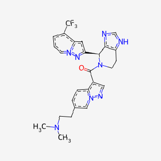 CN(C)CCc1ccc2c(C(=O)N3CCc4[nH]cnc4[C@@H]3c3cc4c(C(F)(F)F)cccn4n3)cnn2c1